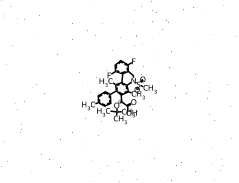 Cc1ccc(-c2c(C)c3c(c(C)c2[C@H](OC(C)(C)C)C(=O)O)N(S(C)(=O)=O)Cc2c(F)ccc(F)c2-3)cc1